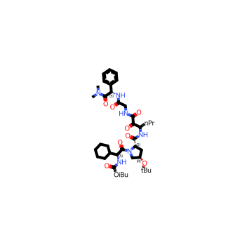 CCCC(NC(=O)[C@@H]1C[C@@H](OC(C)(C)C)CN1C(=O)[C@@H](NC(=O)OCC(C)C)C1CCCCC1)C(=O)C(=O)NCC(=O)N[C@H](C(=O)N(C)C)c1ccccc1